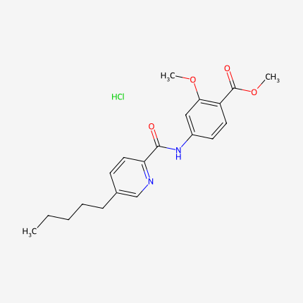 CCCCCc1ccc(C(=O)Nc2ccc(C(=O)OC)c(OC)c2)nc1.Cl